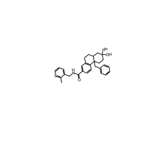 CCCC1(O)CCC2(Cc3ccccc3)c3ccc(C(=O)NCc4cccnc4C)cc3CCC2C1